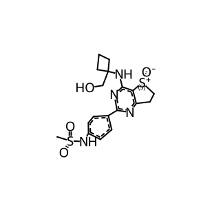 CS(=O)(=O)Nc1ccc(-c2nc3c(c(NC4(CO)CCC4)n2)[S@+]([O-])CC3)cc1